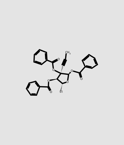 CC#C[C@]1(OC(=O)c2ccccc2)[C@@H](OC(=O)c2ccccc2)O[C@H](CC)[C@H]1OC(=O)c1ccccc1